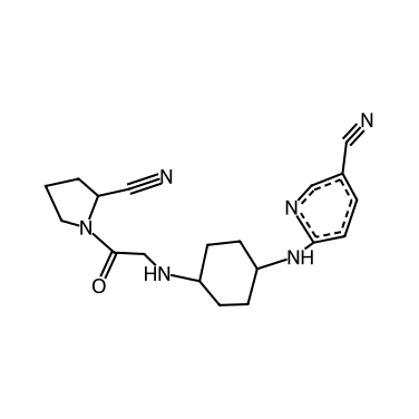 N#Cc1ccc(NC2CCC(NCC(=O)N3CCCC3C#N)CC2)nc1